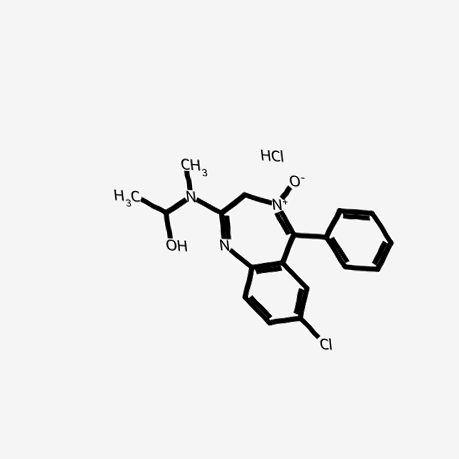 CC(O)N(C)C1=Nc2ccc(Cl)cc2C(c2ccccc2)=[N+]([O-])C1.Cl